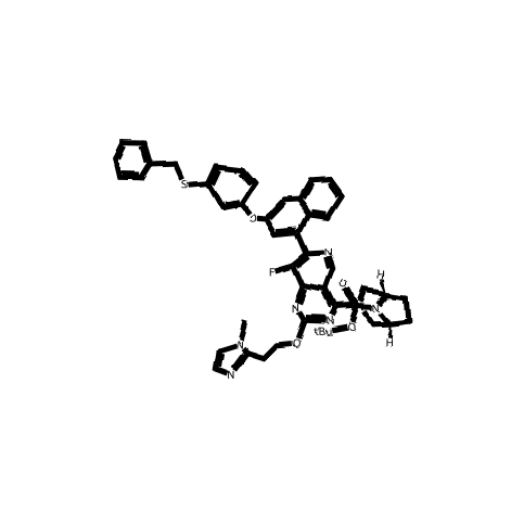 Cn1ccnc1CCOc1nc(N2C[C@H]3CC[C@@H](C2)N3C(=O)OC(C)(C)C)c2cnc(-c3cc(Oc4cccc(SCc5ccccc5)c4)cc4ccccc34)c(F)c2n1